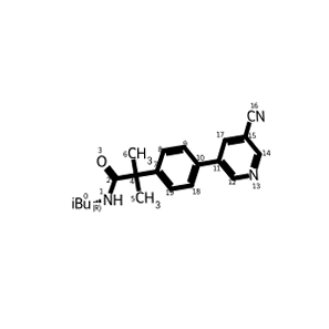 CC[C@@H](C)NC(=O)C(C)(C)c1ccc(-c2cncc(C#N)c2)cc1